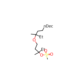 CCCCCCCCCCCCC(C)(CC)OCCC(C)(CC)OS(C)(=O)=O